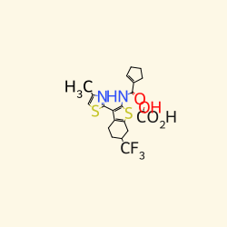 Cc1csc(-c2c(NC(=O)C3=CCCC3)sc3c2CCC(C(F)(F)F)C3)n1.O=C(O)O